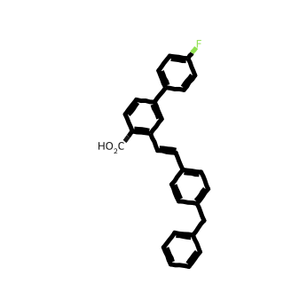 O=C(O)c1ccc(-c2ccc(F)cc2)cc1C=Cc1ccc(Cc2ccccc2)cc1